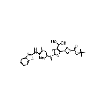 Cc1cc(N(C)c2nc(C(O)O)c(C3CN(C(=O)OC(C)(C)C)C3)s2)nnc1Nc1nc2ccccc2s1